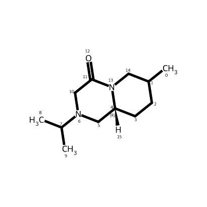 CC1CC[C@@H]2CN(C(C)C)CC(=O)N2C1